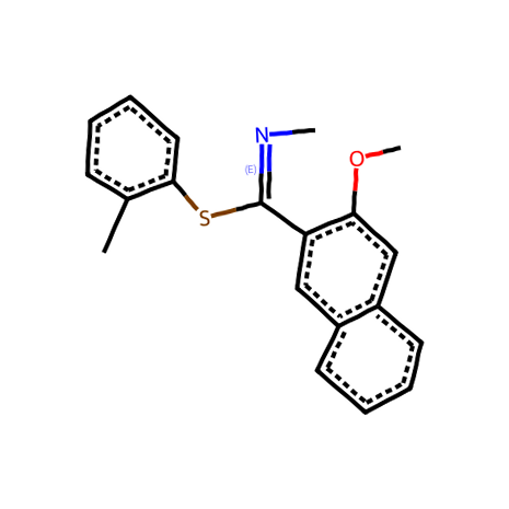 C/N=C(/Sc1ccccc1C)c1cc2ccccc2cc1OC